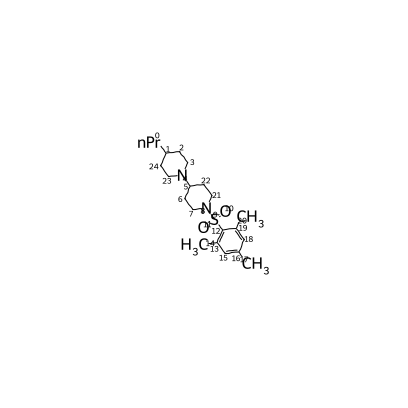 CCCC1CCN(C2CCN(S(=O)(=O)c3c(C)cc(C)cc3C)CC2)CC1